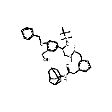 C[C@H](Cc1cccc(CC(=O)NC23CC4CC(CC(C4)C2)C3)c1)NC[C@H](O[Si](C)(C)C(C)(C)C)c1ccc(OCc2ccccc2)c(CO)c1